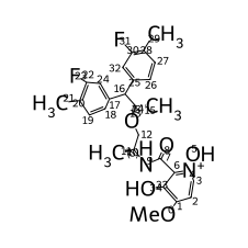 COc1cc[n+](O)c(C(=O)N[C@@H](C)CO[C@@H](C)C(c2ccc(C)c(F)c2)c2ccc(C)c(F)c2)c1O